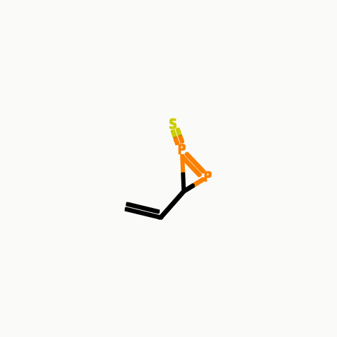 C=CC1P=P1=S